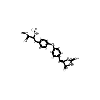 COC(=O)C(Cc1ccc(Oc2ccc(/C=C3\SC(=S)NC3=O)cc2)cc1)NCl